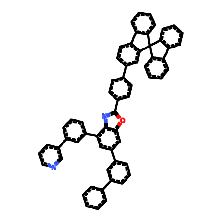 c1ccc(-c2cccc(-c3cc(-c4cccc(-c5cccnc5)c4)c4nc(-c5ccc(-c6ccc7c(c6)C6(c8ccccc8-c8ccccc86)c6ccccc6-7)cc5)oc4c3)c2)cc1